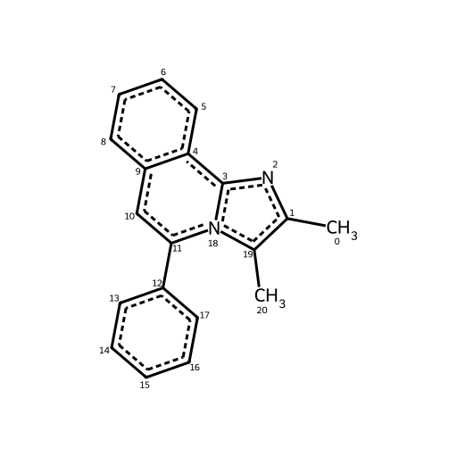 Cc1nc2c3ccccc3cc(-c3ccccc3)n2c1C